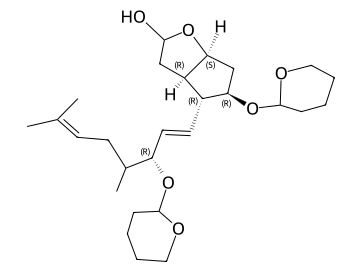 CC(C)=CCC(C)[C@H](C=C[C@@H]1[C@H]2CC(O)O[C@H]2C[C@H]1OC1CCCCO1)OC1CCCCO1